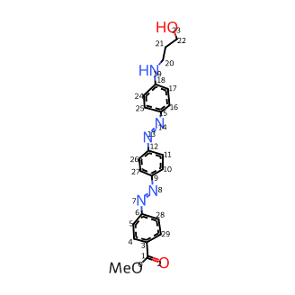 COC(=O)c1ccc(N=Nc2ccc(N=Nc3ccc(NCCCO)cc3)cc2)cc1